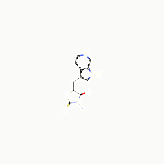 CN1C(=O)C(Cc2c[nH]c3cnccc23)SC1=S